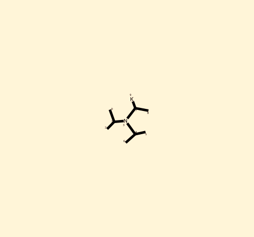 CC(C)N(C(C)C)[CH](C)[K]